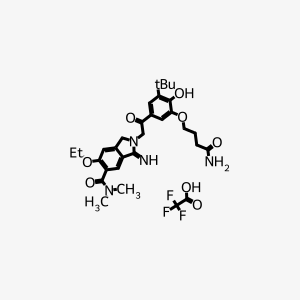 CCOc1cc2c(cc1C(=O)N(C)C)C(=N)N(CC(=O)c1cc(OCCCC(N)=O)c(O)c(C(C)(C)C)c1)C2.O=C(O)C(F)(F)F